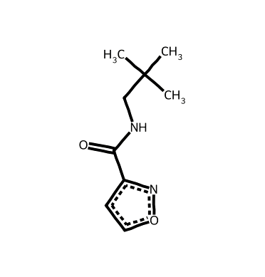 CC(C)(C)CNC(=O)c1ccon1